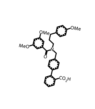 COc1ccc(CCCN(Cc2ccc(-c3ccccc3C(=O)O)cc2)C(=O)c2cc(OC)cc(OC)c2)cc1